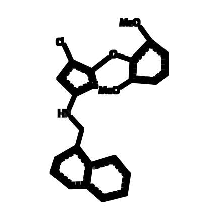 COc1cccc(OC)c1Oc1sc(NCc2cccc3ccccc23)cc1Cl